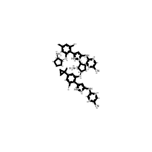 Cc1cc(F)c(-c2cc(Nc3cnc(C#N)cn3)[n+](C3CC[C@@H](Oc4cc(C5(C)CC5)cc(F)c4-c4cc(Nc5cnc(C#N)cn5)n[nH]4)[C@@H]3N)[nH]2)c(O[C@@H]2CCC[C@H]2N)c1